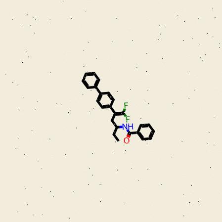 CCC(CC(=C(F)F)c1ccc(-c2ccccc2)cc1)NC(=O)c1ccccc1